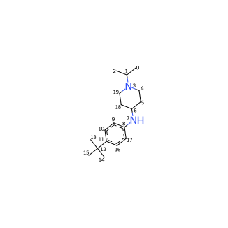 CC(C)N1CCC(Nc2ccc(C(C)(C)C)cc2)CC1